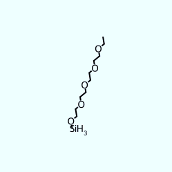 CCOCCOCCOCCOCCO[SiH3]